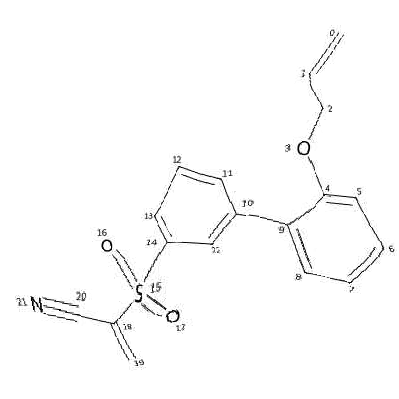 C=CCOc1ccccc1-c1cccc(S(=O)(=O)C(=C)C#N)c1